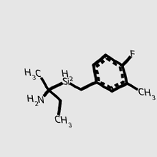 CCC(C)(N)[SiH2]Cc1ccc(F)c(C)c1